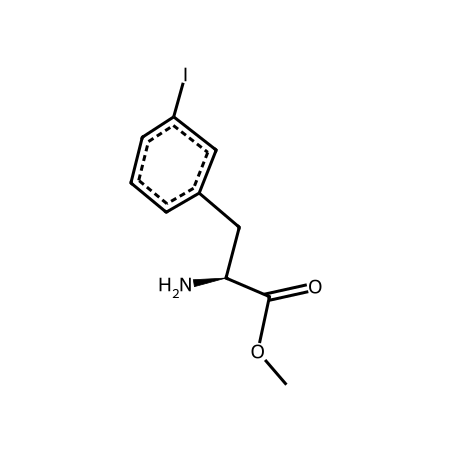 COC(=O)[C@@H](N)Cc1cccc(I)c1